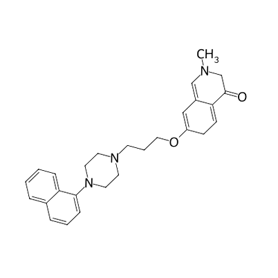 CN1C=C2C=C(OCCCN3CCN(c4cccc5ccccc45)CC3)CC=C2C(=O)C1